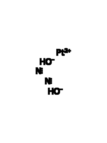 [N].[N].[OH-].[OH-].[Pt+2]